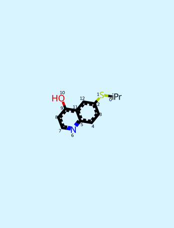 CC(C)Sc1ccc2nccc(O)c2c1